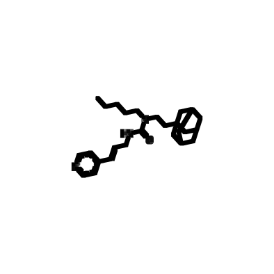 CCCCCN(CCC12CC3CC(CC(C3)C1)C2)C(=O)NCC=Cc1ccncc1